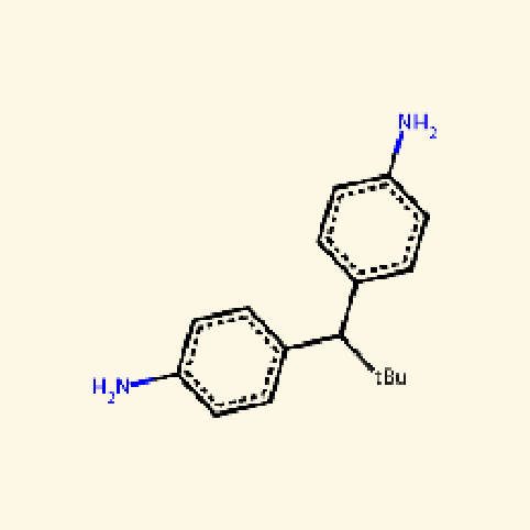 CC(C)(C)C(c1ccc(N)cc1)c1ccc(N)cc1